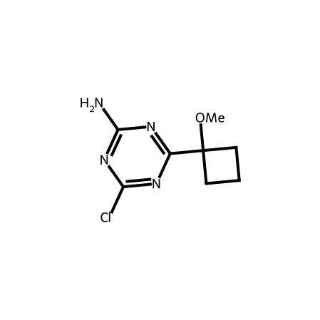 COC1(c2nc(N)nc(Cl)n2)CCC1